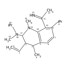 C=CC1C(C)c2ccc(C(C)C)c(C(C)=N)c2N(C)C1N(C)C(C)C